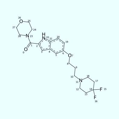 O=C(c1cc2cc(OCCCN3CCC(F)(F)CC3)ccc2[nH]1)N1CCOCC1